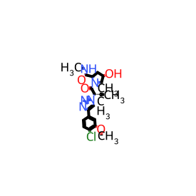 CNC(=O)C1CC(O)CN1C(=O)[C@@H](n1cc(-c2ccc(Cl)c(OC)c2)nn1)C(C)(C)C